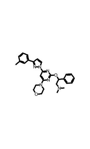 Cc1cccc(-c2ccn(-c3cc(N4CCOCC4)nc(OC(CN(C)C)c4ccccc4)n3)n2)c1